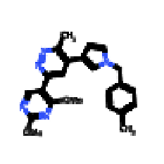 COc1ncc(-c2cc(-c3ccn(Cc4ccc(C)cc4)c3)c(C)nn2)c(OC)n1